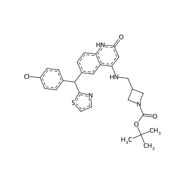 CC(C)(C)OC(=O)N1CC(CNc2cc(=O)[nH]c3ccc(C(c4ccc(Cl)cc4)c4nccs4)cc23)C1